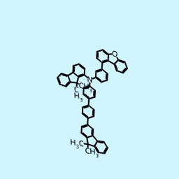 CC1(C)c2ccccc2-c2cc(-c3ccc(-c4ccc(N(c5cccc(-c6cccc7oc8ccccc8c67)c5)c5cccc6c5C(C)(C)c5ccccc5-6)cc4)cc3)ccc21